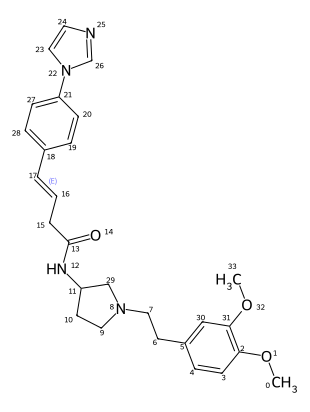 COc1ccc(CCN2CCC(NC(=O)C/C=C/c3ccc(-n4ccnc4)cc3)C2)cc1OC